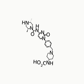 C[C@@H]1CN(C(=O)Nc2ccn(-c3ccc(CN4CCC(NC(=O)O)CC4)cc3)c(=O)n2)[C@@H](C)CN1